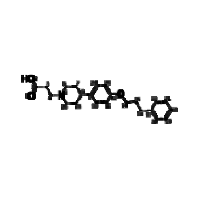 O=C(O)CCN1CCC(c2ccc(OCCCc3ccccc3)cc2)CC1